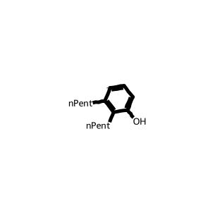 CCCCCc1[c]ccc(O)c1CCCCC